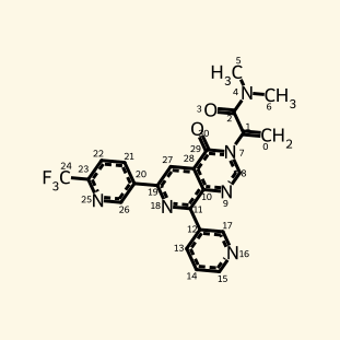 C=C(C(=O)N(C)C)n1cnc2c(-c3cccnc3)nc(-c3ccc(C(F)(F)F)nc3)cc2c1=O